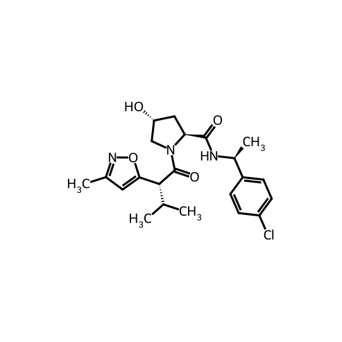 Cc1cc([C@H](C(=O)N2C[C@H](O)C[C@H]2C(=O)N[C@@H](C)c2ccc(Cl)cc2)C(C)C)on1